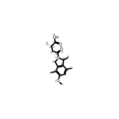 COc1cc(C)c2c(c1C)CN(C(=O)C[C@H](C)C(=O)O)C2C